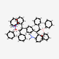 CN(C)c1ccccc1/C(=C(\B(c1ccccc1)c1ccccc1)c1ccccc1)c1ccc(/C(=C(/B(c2ccccc2)c2ccccc2)c2ccccc2)c2ccccc2N(C)C)cc1